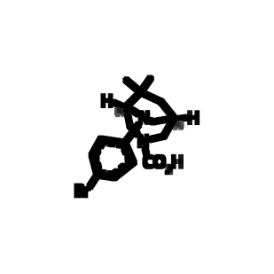 CC1(C)C[C@@H]2CN(C(=O)O)C[C@H]1N(c1ccc(Br)cc1)C2